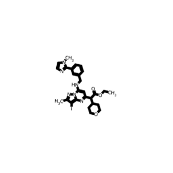 CCOC(=O)C(c1cc(NCc2cccc(-c3nccn3C)c2)n2nc(C)c(I)c2n1)C1CCOCC1